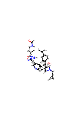 CC(=O)N1CCC(c2nc(-c3cncc([C@@](O)(c4ccc(C(C)C)cc4)C4(C)CN(CC5CC5)C4)c3)no2)CC1